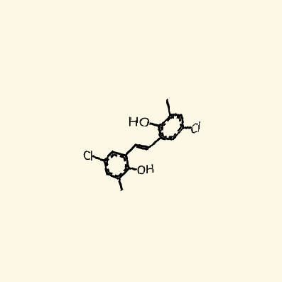 Cc1cc(Cl)cc(C=Cc2cc(Cl)cc(C)c2O)c1O